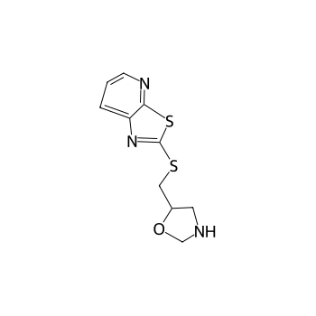 c1cnc2sc(SCC3CNCO3)nc2c1